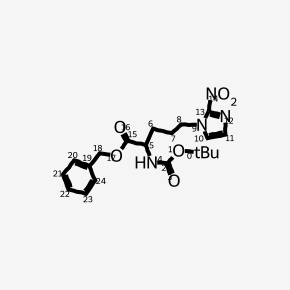 CC(C)(C)OC(=O)NC(CCCn1ccnc1[N+](=O)[O-])C(=O)OCc1ccccc1